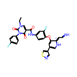 CCn1cc(C(=O)Nc2ccc(OC3=CC(c4cnsc4)=CN/C3=C\C=N)c(F)c2)c(=O)n(-c2ccc(F)cc2)c1=O